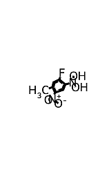 Cc1cc(F)c(N(O)O)cc1[N+](=O)[O-]